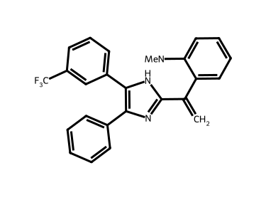 C=C(c1nc(-c2ccccc2)c(-c2cccc(C(F)(F)F)c2)[nH]1)c1ccccc1NC